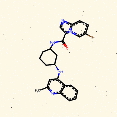 O=C(NC1CCC[C@H](Nc2cc(C(F)(F)F)nc3ccccc23)C1)c1cnc2ccc(Br)cn12